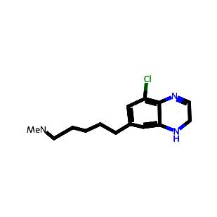 CNCCCCCc1cc(Cl)c2c(c1)NCC=N2